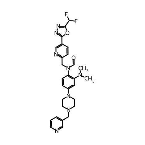 CN(C)c1cc(N2CCN(Cc3cccnc3)CC2)ccc1N(C=O)Cc1ccc(-c2nnc(C(F)F)o2)cn1